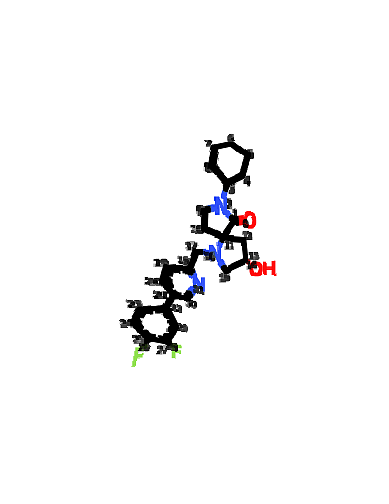 O=C1N(C2CCCCC2)CCC12C[C@@H](O)CN2Cc1ccc(-c2ccc(F)c(F)c2)cn1